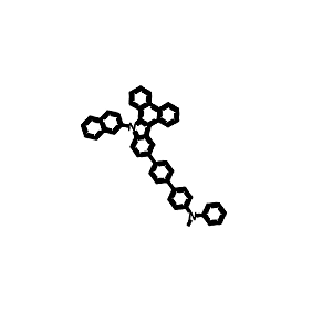 CN(c1ccccc1)c1ccc(-c2ccc(-c3ccc4c(c3)c3c5ccccc5c5ccccc5c3n4-c3ccc4ccccc4c3)cc2)cc1